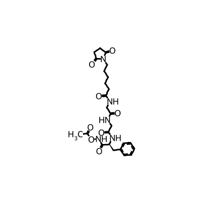 CC(=O)ONC(=O)[C@H](Cc1ccccc1)NC(=O)CNC(=O)CNC(=O)CCCCCN1C(=O)CCC1=O